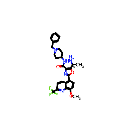 COc1ccc(-c2nc(C(=O)NC3CCN(Cc4ccccc4)CC3)c([C@H](C)N)o2)c2ccc(C(F)(F)F)nc12